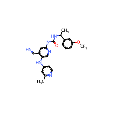 Cc1cc(Nc2cnc(NC(=O)NC(C)c3cccc(OC(F)(F)F)c3)cc2C=N)ccn1